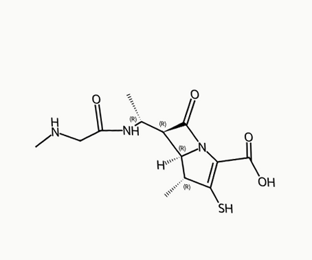 CNCC(=O)N[C@H](C)[C@H]1C(=O)N2C(C(=O)O)=C(S)[C@H](C)[C@@H]12